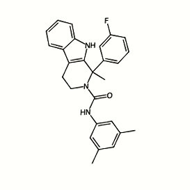 Cc1cc(C)cc(NC(=O)N2CCc3c([nH]c4ccccc34)C2(C)c2cccc(F)c2)c1